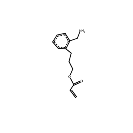 C=CC(=O)OCCCc1ccccc1CN